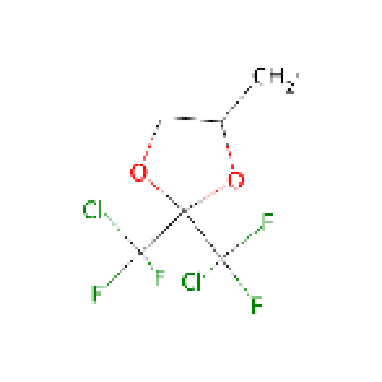 [CH2]C1COC(C(F)(F)Cl)(C(F)(F)Cl)O1